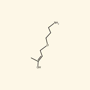 C/C(O)=C\COCCCN